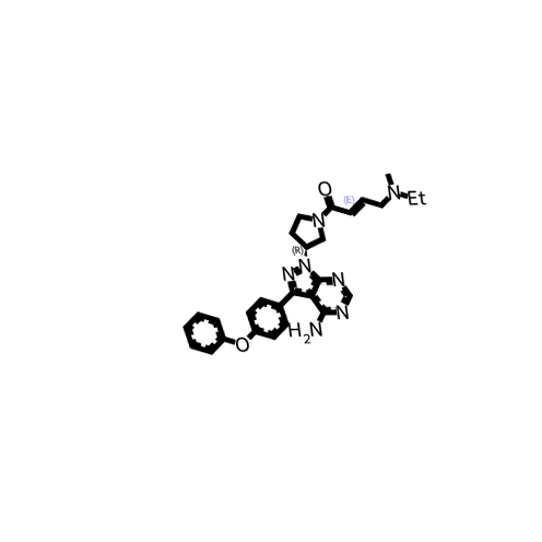 CCN(C)C/C=C/C(=O)N1CC[C@@H](n2nc(-c3ccc(Oc4ccccc4)cc3)c3c(N)ncnc32)C1